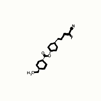 CC[C@H]1CC[C@H](C(=O)O[C@H]2CC[C@H](CCC=C(F)C#N)CC2)CC1